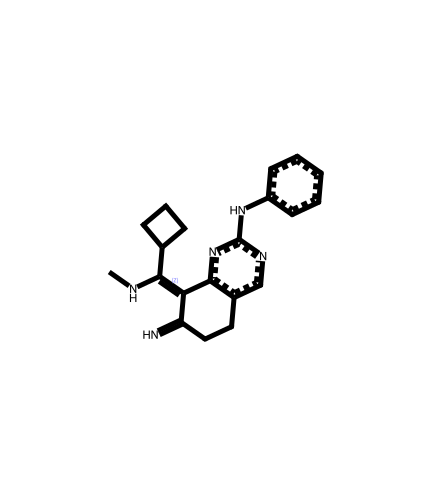 CN/C(=C1\C(=N)CCc2cnc(Nc3ccccc3)nc21)C1CCC1